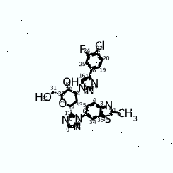 Cc1nc2ccc(-n3ncnc3[C@H]3C[C@@H](n4cc(-c5ccc(Cl)c(F)c5)nn4)[C@@H](O)[C@@H](CO)O3)cc2s1